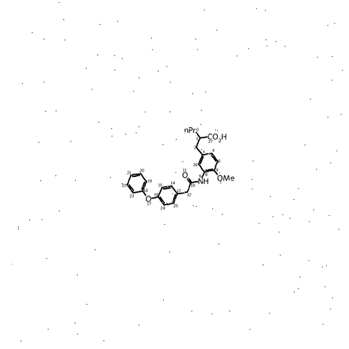 CCCC(Cc1ccc(OC)c(NC(=O)Cc2ccc(Oc3ccccc3)cc2)c1)C(=O)O